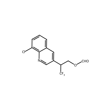 O=COCC(c1cnc2c(Cl)cccc2c1)C(F)(F)F